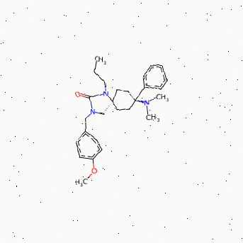 CCCN1C(=O)N(Cc2ccc(OC)cc2)C[C@]12CC[C@](c1ccccc1)(N(C)C)CC2